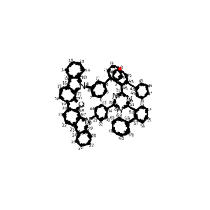 c1ccc(-c2cccc(-n3c4ccccc4c4ccc5c6ccc7c8ccccc8n(-c8ccc(-c9nc(-c%10ccccc%10-c%10ccccc%10)nc(-c%10ccccc%10-c%10ccccc%10)n9)cc8)c7c6oc5c43)c2)cc1